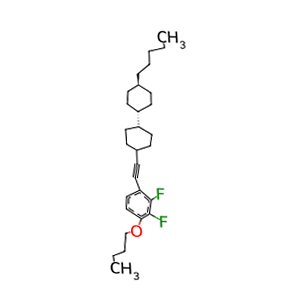 CCCCC[C@H]1CC[C@H](C2CCC(C#Cc3ccc(OCCCC)c(F)c3F)CC2)CC1